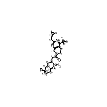 N[C@@H](CC(=O)N1CCc2c(nc(CC3CC3)nc2C(F)(F)F)C1)CN1CC(F)(F)CCC1=O